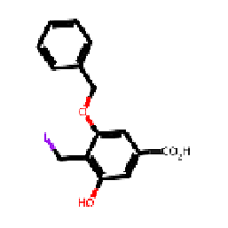 O=C(O)c1cc(O)c(CI)c(OCc2ccccc2)c1